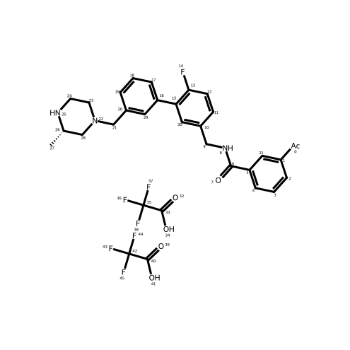 CC(=O)c1cccc(C(=O)NCc2ccc(F)c(-c3cccc(CN4CCN[C@@H](C)C4)c3)c2)c1.O=C(O)C(F)(F)F.O=C(O)C(F)(F)F